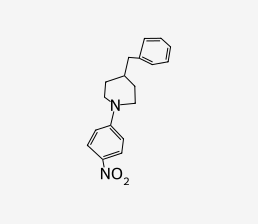 O=[N+]([O-])c1ccc(N2CCC(Cc3ccccc3)CC2)cc1